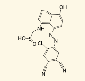 N#Cc1cc(Cl)c(/N=N/c2ccc(O)c3cccc(NCS(=O)O)c23)cc1C#N